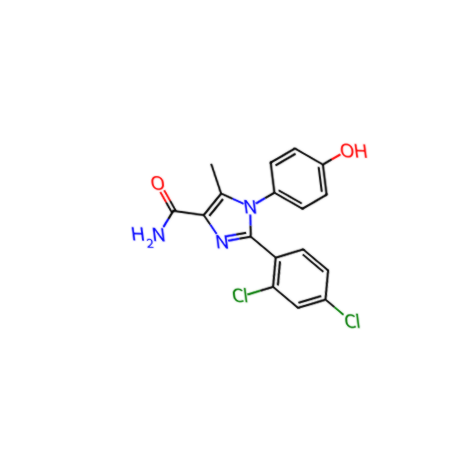 Cc1c(C(N)=O)nc(-c2ccc(Cl)cc2Cl)n1-c1ccc(O)cc1